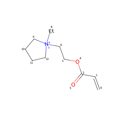 C=CC(=O)OCC[N+]1(CC)CCCC1